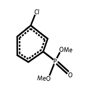 COP(=O)(OC)c1cccc(Cl)c1